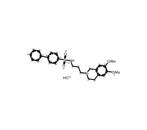 COc1cc2c(cc1OC)CN(CCCNS(=O)(=O)c1ccc(-c3ccccc3)cc1)CC2.Cl